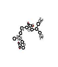 FC(F)(F)Oc1ccc(-c2cc(-c3ccc(OC(F)(F)F)cc3)cc(-c3ccc4c(c3)C3(c5ccc(-c6cccc(-c7ccc(-c8nc(-c9ccccc9)nc(-c9ccc%10c(c9)C9(c%11ccccc%11O%10)c%10ccccc%10-c%10ccccc%109)n8)cc7)n6)cc5O4)c4ccccc4-c4ccccc43)c2)cc1